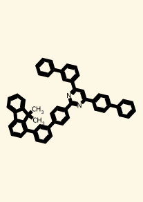 CC1(C)c2ccccc2-c2cccc(-c3cccc(-c4ccc(-c5nc(-c6ccc(-c7ccccc7)cc6)cc(-c6cccc(-c7ccccc7)c6)n5)cc4)c3)c21